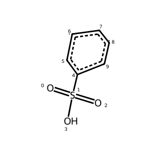 O=S(=O)(O)c1c[c]c[c]c1